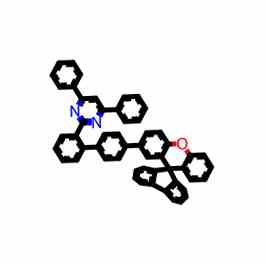 c1ccc(-c2cc(-c3ccccc3)nc(-c3ccccc3-c3ccc(-c4ccc5c(c4)C4(c6ccccc6O5)c5ccccc5-c5ccccc54)cc3)n2)cc1